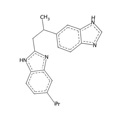 CC(C)c1ccc2[nH]c(CC(C)c3ccc4nc[nH]c4c3)nc2c1